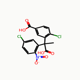 CC(C(=O)O)(c1cc(C(=O)O)ccc1Cl)c1cc(Cl)ccc1[N+](=O)[O-]